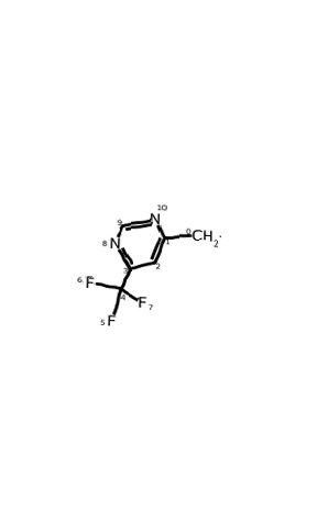 [CH2]c1cc(C(F)(F)F)ncn1